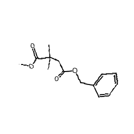 [CH2]OC(=O)C(C)(C)CC(=O)OCc1ccccc1